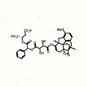 COc1ccc2c3c1O[C@H]1C(OC(=O)[C@H](O)[C@@H](O)C(=O)O[C@H](C(=O)O[C@@H](CC(=O)O)C(=O)O)c4ccccc4)=CC[C@@]4(O)[C@@H](C2)C(C)CC[C@]314